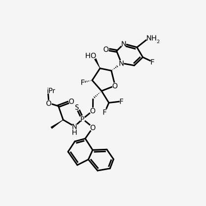 CC(C)OC(=O)[C@H](C)NP(=S)(OC[C@@]1(C(F)F)O[C@@H](n2cc(F)c(N)nc2=O)[C@H](O)[C@H]1F)Oc1cccc2ccccc12